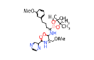 COC[C@@H](NC(=O)c1cnccn1)C(=O)N[C@@H](CCCc1cccc(OC)c1)B1OC(C)(C)C(C)(C)O1